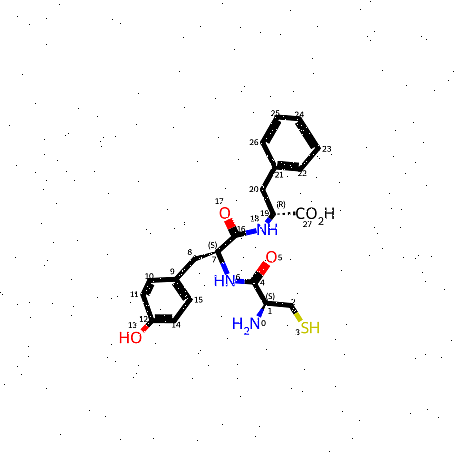 N[C@H](CS)C(=O)N[C@@H](Cc1ccc(O)cc1)C(=O)N[C@H](Cc1ccccc1)C(=O)O